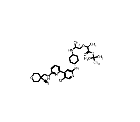 CC(CO[C@@H](C)C(=O)OC(C)(C)C)N[C@H]1CC[C@H](Nc2cc(-c3cccc(NCC4(C#N)CCOCC4)n3)c(Cl)cn2)CC1